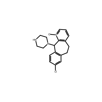 [O-][n+]1cccc2c1C(N1CCNCC1)c1ccc(Cl)cc1CC2